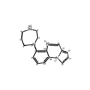 c1cc(N2CCCNCC2)c2ncc3cccn3c2c1